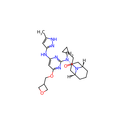 Cc1cc(Nc2cc(OCC3COC3)nc(N(C)[C@H]3C[C@H]4CCC[C@@H](C3)N4C(=O)CC3CC3)n2)n[nH]1